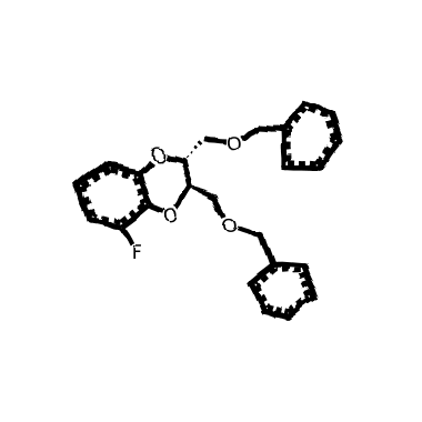 Fc1cccc2c1O[C@H](COCc1ccccc1)[C@@H](COCc1ccccc1)O2